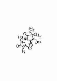 CC1(C)C(=O)NC(=O)N1CO.O=C1CN(CO)C(=O)N1